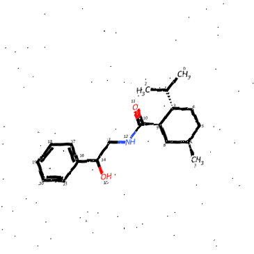 CC(C)[C@@H]1CC[C@@H](C)C[C@H]1C(=O)NCC(O)c1ccccc1